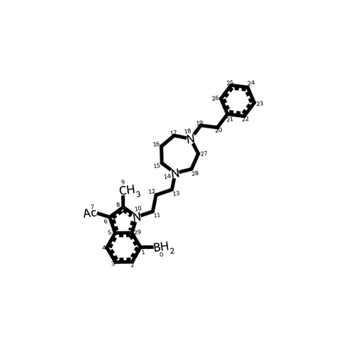 Bc1cccc2c(C(C)=O)c(C)n(CCCN3CCCN(CCc4ccccc4)CC3)c12